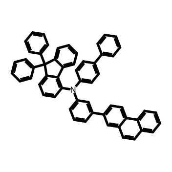 c1ccc(-c2ccc(N(c3cccc(-c4ccc5c(ccc6ccccc65)c4)c3)c3cccc4c3-c3ccccc3C4(c3ccccc3)c3ccccc3)cc2)cc1